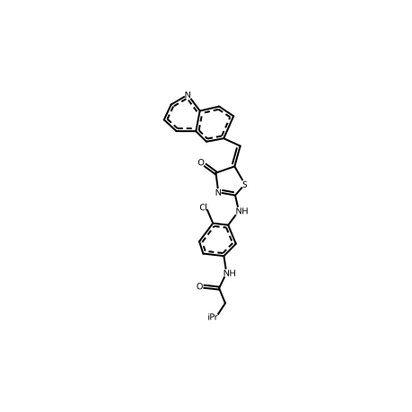 CC(C)CC(=O)Nc1ccc(Cl)c(NC2=NC(=O)C(=Cc3ccc4ncccc4c3)S2)c1